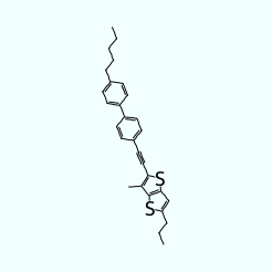 CCCCCc1ccc(-c2ccc(C#Cc3sc4cc(CCC)sc4c3C)cc2)cc1